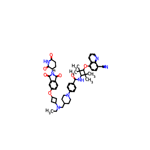 CCN(CC1CCN(c2ccc(C(=O)NC3C(C)(C)C(Oc4ccc(C#N)c5ncccc45)C3(C)C)cc2)CC1)C1CC(Oc2ccc3c(c2)C(=O)N([C@@H]2CCC(=O)NC2=O)C3=O)C1